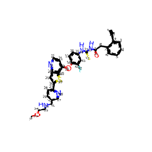 C#Cc1ccccc1CC(=O)NC(=S)Nc1ccc(Oc2ccnc3cc(-c4ccc(CNCCOC)cn4)sc23)c(F)c1